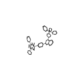 O=P(c1ccccc1)(c1ccccc1)c1ccc(-c2cc(-c3ccc(-c4nc(-c5ccccc5)nc(-c5ccccc5)n4)cc3)cc3ccccc23)cc1